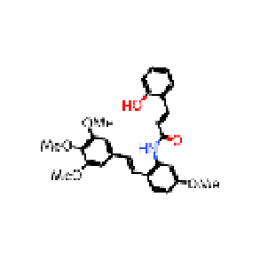 COc1ccc(/C=C/c2cc(OC)c(OC)c(OC)c2)c(NC(=O)/C=C/c2ccccc2O)c1